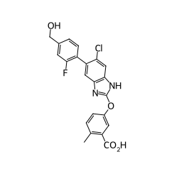 Cc1ccc(Oc2nc3cc(-c4ccc(CO)cc4F)c(Cl)cc3[nH]2)cc1C(=O)O